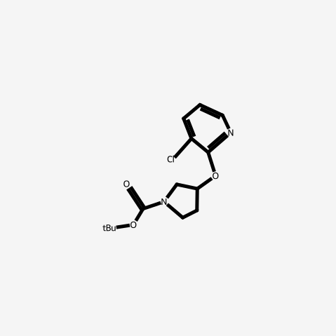 CC(C)(C)OC(=O)N1CCC(Oc2ncccc2Cl)C1